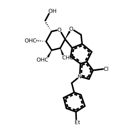 CCc1ccc(Cn2cc(Cl)c3cc4c(cc32)[C@@]2(OC4)O[C@@H](CO)[C@@H](C=O)[C@H](C=O)[C@@H]2C=O)cc1